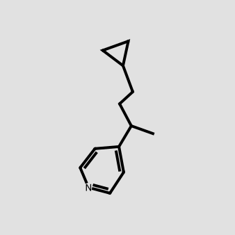 CC(CCC1CC1)c1ccncc1